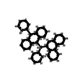 c1ccc(-c2c3ccccc3c(N(c3ccccn3)c3cc4ccccc4c4ccccc34)c3ccccc23)nc1